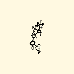 Cn1nc(C(F)(F)C(F)(F)F)c(C(F)(F)F)c1-c1nc(-c2ccc(Cl)c(C(=O)NC3CC3)c2)no1